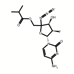 CC(C)C(=O)OCC1(N=[N+]=[N-])O[C@@H](n2ccc(N)nc2=O)[C@H](F)[C@@H]1O